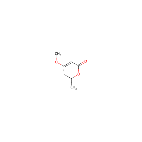 COC1=CC(=O)OC(C)C1